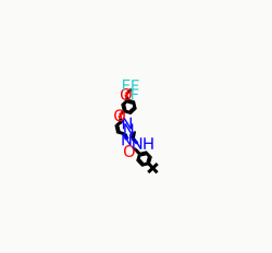 CC(C)(C)c1ccc(C(=O)Nc2cn3nc(Oc4cccc(OC(F)(F)F)c4)ccc3n2)cc1